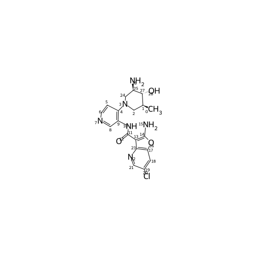 C[C@H]1CN(c2ccncc2NC(=O)c2c(N)oc3cc(Cl)cnc23)C[C@@H](N)[C@@H]1O